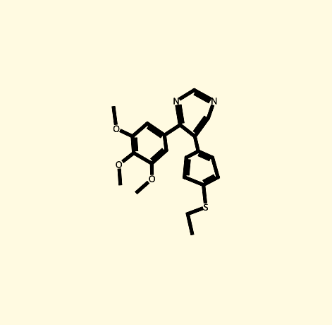 CCSc1ccc(-c2cncnc2-c2cc(OC)c(OC)c(OC)c2)cc1